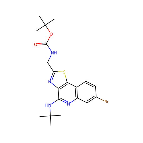 CC(C)(C)Nc1nc2cc(Br)ccc2c2sc(CNC(=O)OC(C)(C)C)nc12